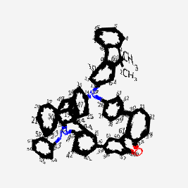 CC1(C)c2ccccc2-c2ccc(N(c3ccc(-c4ccccc4)cc3)c3ccc(-c4cccc5oc6ccc(-c7ccc8c(c7)c7ccccc7n8-c7ccccc7)cc6c45)cc3)cc21